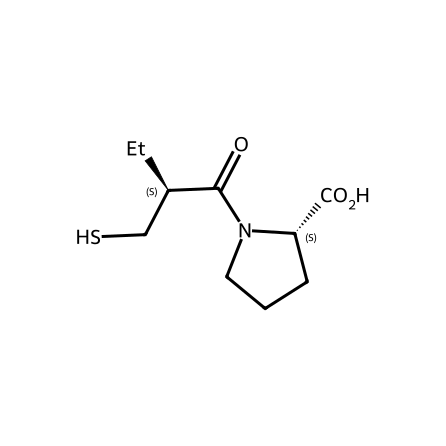 CC[C@H](CS)C(=O)N1CCC[C@H]1C(=O)O